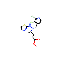 COC(=O)CCC(C)N(Cc1ccnc(Cl)c1F)Nc1nccs1